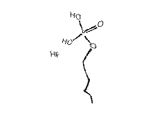 CCCCOP(=O)(O)O.F